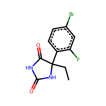 CCC1(c2ccc(Br)cc2F)NC(=O)NC1=O